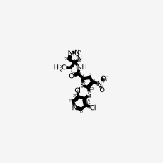 CCC1(NC(=O)c2cc([N+](=O)[O-])c(Sc3c(Cl)cncc3Cl)s2)C=NN=N1